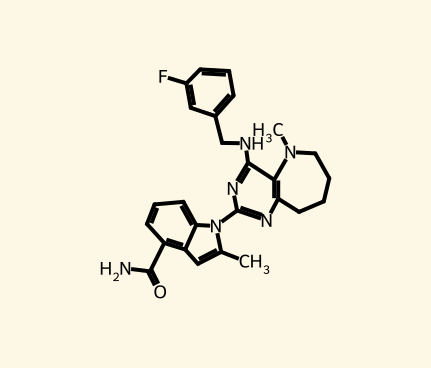 Cc1cc2c(C(N)=O)cccc2n1-c1nc2c(c(NCc3cccc(F)c3)n1)N(C)CCCC2